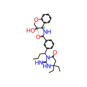 CCCC(c1cccc(C(=O)N[C@@H]2c3ccccc3OC[C@]2(C)O)c1)N1C(=N)NC(CC)(CC)CC1=O